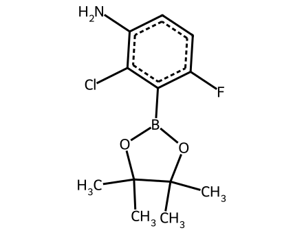 CC1(C)OB(c2c(F)ccc(N)c2Cl)OC1(C)C